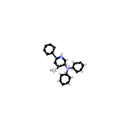 Cc1cc(-c2ccccc2)ncc1N(c1ccccc1)c1ccccc1